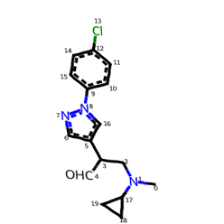 CN(CC(C=O)c1cnn(-c2ccc(Cl)cc2)c1)C1CC1